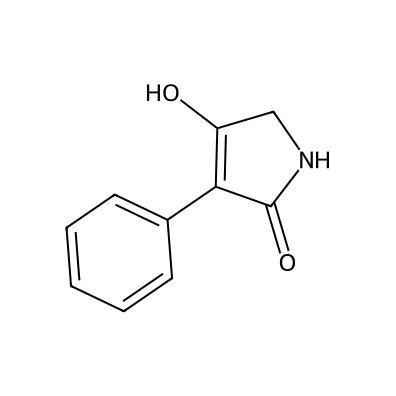 O=C1NCC(O)=C1c1ccccc1